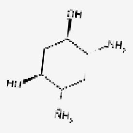 N[C@@H]1C[C@H](N)[C@@H](O)C[C@H]1O